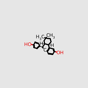 CC1(C)CC[C@H]2c3cc(O)ccc3C[C@@H](c3ccc(O)cc3)[C@H]2C1